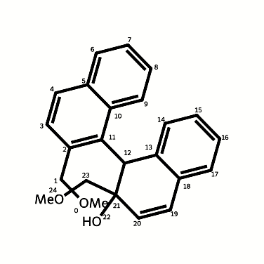 COCc1ccc2ccccc2c1C1c2ccccc2C=CC1(O)COC